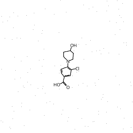 O=C(O)c1ccc(N2CCC(O)CC2)c(Cl)c1